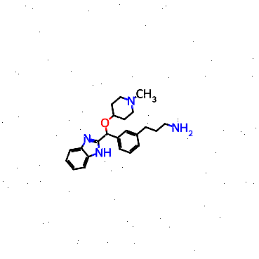 CN1CCC(OC(c2cccc(CCCN)c2)c2nc3ccccc3[nH]2)CC1